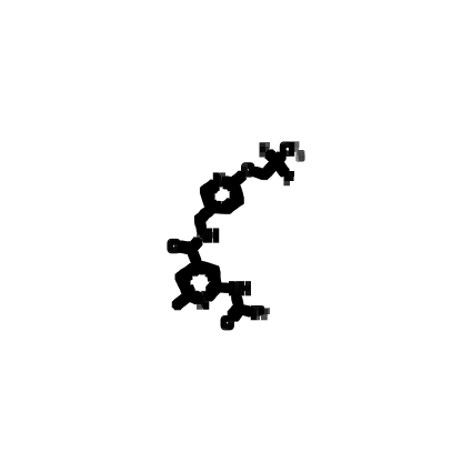 Cc1cc(C(=O)NCc2ccc(OCC(F)(F)C(F)(F)F)nc2)cc(NC(=O)C(C)C)n1